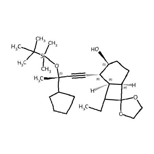 CCC1[C@H]2[C@H](C#C[C@@](C)(O[Si](C)(C)C(C)(C)C)C3CCCC3)[C@@H](O)CC[C@H]2C12OCCO2